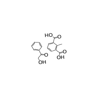 Cc1c(C(=O)O)cccc1C(=O)O.O=C(CO)c1ccccc1